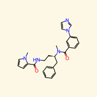 CN(C(=O)c1cccc(-n2ccnc2)c1)[C@H](CCNC(=O)c1cccn1C)Cc1ccccc1